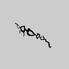 C/C=C/CCC1CCC(c2ccc(-c3ccc(-c4ccc(OCC)c(F)c4F)cc3)cc2)OC1